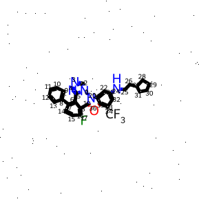 Cn1cnnc1-c1c(-c2ccccc2)ccc(F)c1-c1nc2cc(NCCC3CCCC3)cc(C(F)(F)F)c2o1